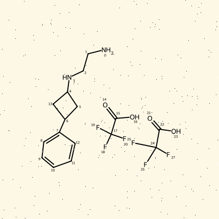 NCCNC1CC(c2ccccc2)C1.O=C(O)C(F)(F)F.O=C(O)C(F)(F)F